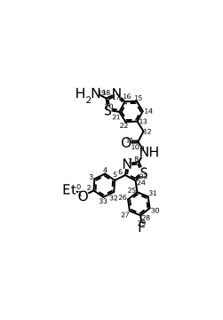 CCOc1ccc(-c2nc(NC(=O)Cc3ccc4nc(N)sc4c3)sc2-c2ccc(F)cc2)cc1